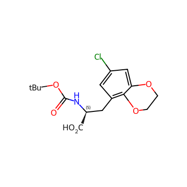 CC(C)(C)OC(=O)N[C@@H](Cc1cc(Cl)cc2c1OCCO2)C(=O)O